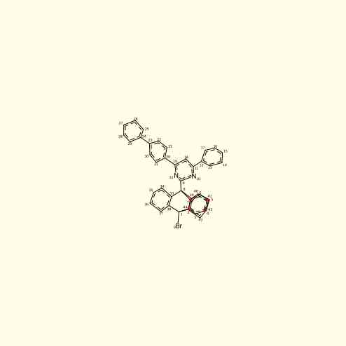 BrC12c3ccccc3C(c3nc(-c4ccccc4)cc(-c4ccc(-c5ccccc5)cc4)n3)(c3ccccc31)c1ccccc12